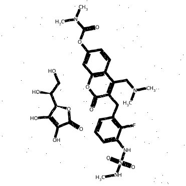 CNS(=O)(=O)Nc1cccc(Cc2c(CN(C)C)c3ccc(OC(=O)N(C)C)cc3oc2=O)c1F.O=C1O[C@H]([C@@H](O)CO)C(O)=C1O